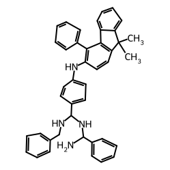 CC1(C)c2ccccc2-c2c1ccc(Nc1ccc(C(NCc3ccccc3)NC(N)c3ccccc3)cc1)c2-c1ccccc1